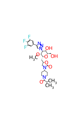 CO[C@@H]1[C@@H](n2cc(-c3cc(F)c(F)c(F)c3)nn2)[C@@H](O)[C@@H](CO)O[C@@H]1CC1CN(C2CCN(C(=O)C(C)C)CC2)C(=O)O1